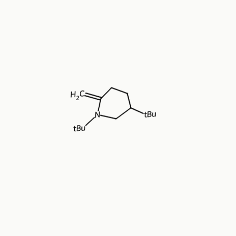 C=C1CCC(C(C)(C)C)CN1C(C)(C)C